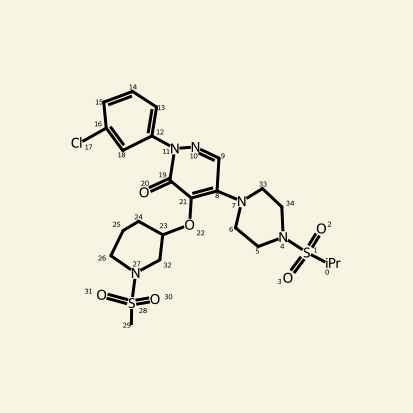 CC(C)S(=O)(=O)N1CCN(c2cnn(-c3cccc(Cl)c3)c(=O)c2OC2CCCN(S(C)(=O)=O)C2)CC1